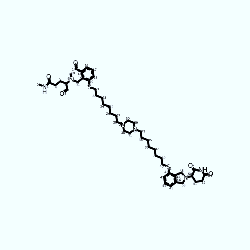 CNC(=O)CCC(C=O)N(C)Cc1c(C=O)cccc1SCCCCCCCCN1CCN(CCCCCCCCSc2cccc3c2CN(C2CCC(=O)NC2=O)C3)CC1